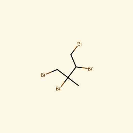 CC(Br)(CBr)C(Br)CBr